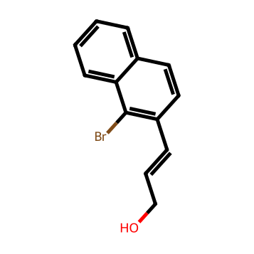 OCC=Cc1ccc2ccccc2c1Br